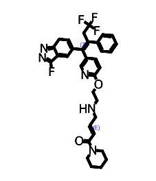 O=C(/C=C/CNCCOc1ccc(/C(C2=CCC3=NN=C(F)C3=C2)=C(/CC(F)(F)F)c2ccccc2)cn1)N1CCCCC1